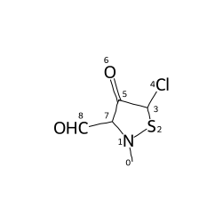 CN1SC(Cl)C(=O)C1C=O